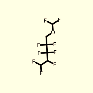 FC(F)OCC(F)(F)C(F)(F)C(F)C(F)F